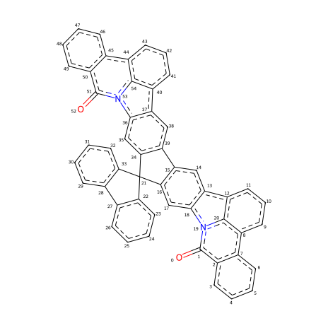 O=c1c2ccccc2c2cccc3c4cc5c(cc4n1c23)C1(c2ccccc2-c2ccccc21)c1cc2c(cc1-5)c1cccc3c4ccccc4c(=O)n2c31